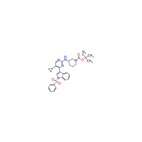 CC(C)(C)OC(=O)N1CCCC(Nc2ncc(C3CC3)c(-c3cn(S(=O)(=O)c4ccccc4)c4ccccc34)n2)C1